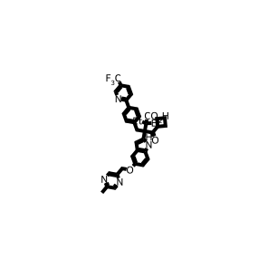 CCC(CC)(C(=O)O)C(Cc1ccc(-c2ccc(C(F)(F)F)cn2)cc1)(C(=O)C1CCC1)c1cc2cc(OCc3cnc(C)cn3)ccc2[nH]1